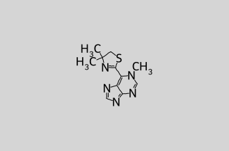 Cn1cnc2ncnc-2c1C1=NC(C)(C)CS1